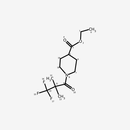 CCOC(=O)C1CCN(C(=O)C(C)(C)C(F)(F)F)CC1